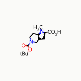 Cn1c(C(=O)O)cc2c1CCN(C(=O)OC(C)(C)C)C2